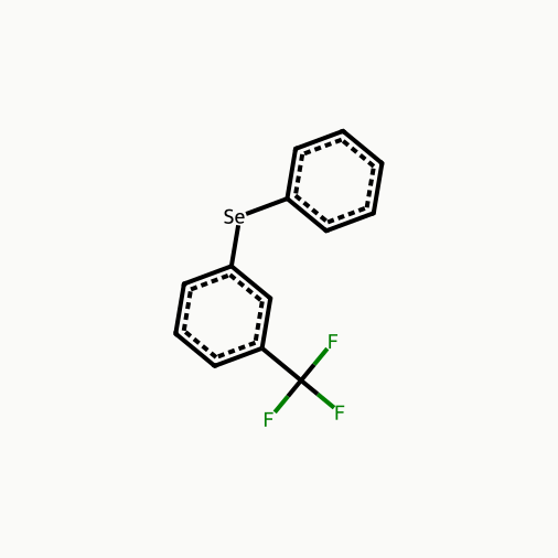 FC(F)(F)c1cccc([Se]c2ccccc2)c1